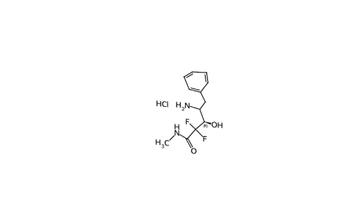 CNC(=O)C(F)(F)[C@H](O)C(N)Cc1ccccc1.Cl